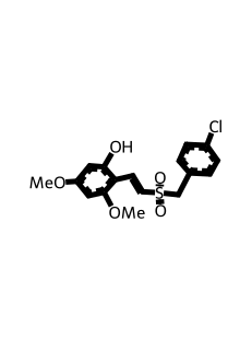 COc1cc(O)c(C=CS(=O)(=O)Cc2ccc(Cl)cc2)c(OC)c1